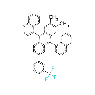 Cc1cc2c(-c3cccc4ccccc34)c3ccc(-c4cccc(C(F)(F)F)c4)cc3c(-c3cccc4ccccc34)c2cc1C